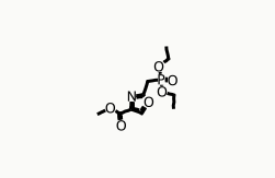 CCOP(=O)(Cc1nc(C(=O)OC)co1)OCC